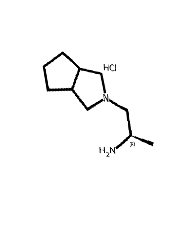 C[C@@H](N)CN1CC2CCCC2C1.Cl